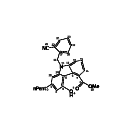 CCCCCc1cc(O)c2c3c(C(=O)OC)cccc3n(Cc3ccccc3C#N)c2c1